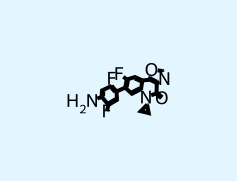 Nc1cc(F)c(-c2cc3c(cc2F)c2ocnc2c(=O)n3C2CC2)cc1F